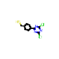 SCc1ccc(-c2nc(Cl)nc(Cl)n2)cc1